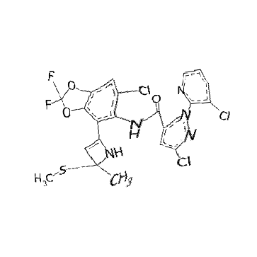 CSCC1(C)C=C(c2c(NC(=O)c3cc(Cl)nn3-c3ncccc3Cl)c(Cl)cc3c2OC(F)(F)O3)N1